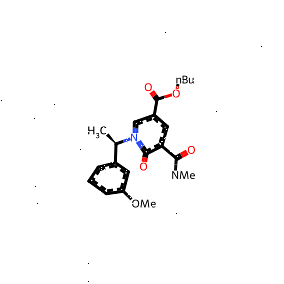 CCCCOC(=O)c1cc(C(=O)NC)c(=O)n([C@H](C)c2cccc(OC)c2)c1